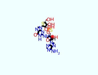 Nc1nc2c(ncn2[C@@H]2S[C@H](CO)[C@@H](O)[C@H]2OP(O)(=S)OC[C@@]23CO[C@](n4cnc5c(N)ncnc54)(CO2)[C@@H]3O)c(=O)[nH]1